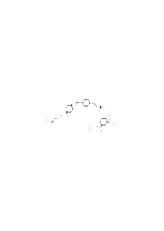 [CH2]C(COC(=O)/C=C/c1ccc(C(F)(F)Oc2ccc(OCCCC(F)(F)C(F)(F)F)cc2)cc1)c1ccc(N)cc1N